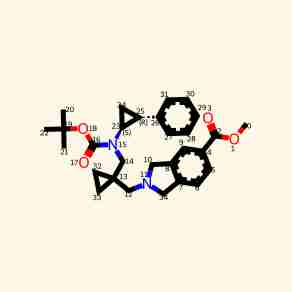 COC(=O)c1ccc2c(c1)CN(CC1(CN(C(=O)OC(C)(C)C)[C@H]3C[C@@H]3c3ccccc3)CC1)C2